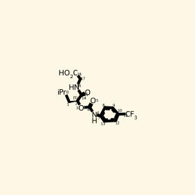 CC(C)C[C@H](OC(=O)Nc1ccc(C(F)(F)F)cc1)C(=O)NCC(=O)O